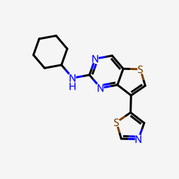 c1ncc(-c2csc3cnc(NC4CCCCC4)nc23)s1